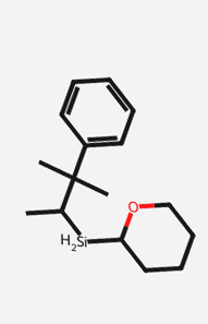 CC([SiH2]C1CCCCO1)C(C)(C)c1ccccc1